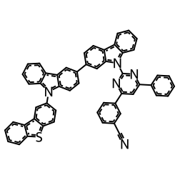 N#Cc1cccc(-c2cc(-c3ccccc3)nc(-n3c4ccccc4c4ccc(-c5ccc6c(c5)c5ccccc5n6-c5ccc6sc7ccccc7c6c5)cc43)n2)c1